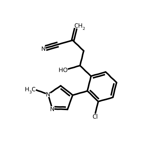 C=C(C#N)CC(O)c1cccc(Cl)c1-c1cnn(C)c1